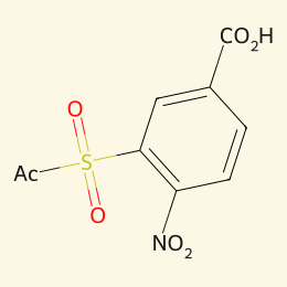 CC(=O)S(=O)(=O)c1cc(C(=O)O)ccc1[N+](=O)[O-]